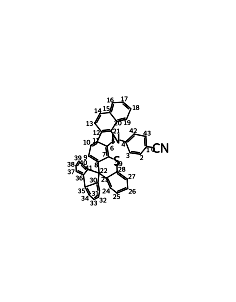 N#Cc1ccc(-n2c3c4c(ccc3c3ccc5ccccc5c32)C2(c3ccccc3S4)c3ccccc3-c3ccccc32)cc1